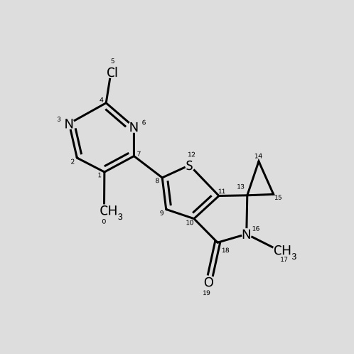 Cc1cnc(Cl)nc1-c1cc2c(s1)C1(CC1)N(C)C2=O